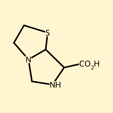 O=C(O)C1NCN2CCSC12